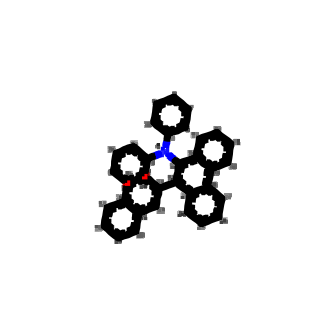 c1ccc(N(c2ccccc2)c2c(-c3ccc4ccccc4c3)c3ccccc3c3ccccc23)cc1